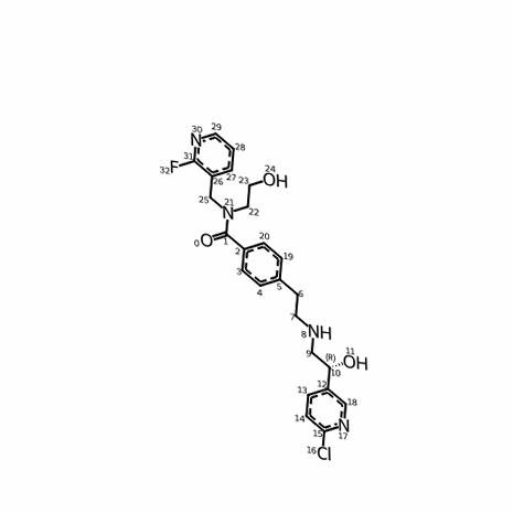 O=C(c1ccc(CCNC[C@H](O)c2ccc(Cl)nc2)cc1)N(CCO)Cc1cccnc1F